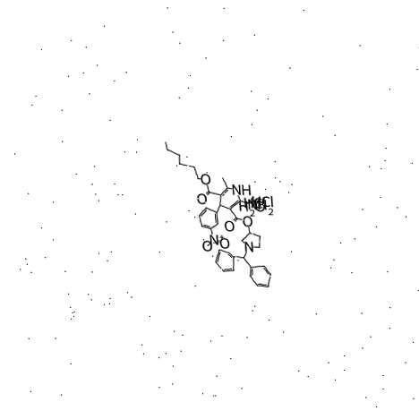 CCCCCCOC(=O)C1=C(C)NC(N)=C(C(=O)OC2CCN(C(c3ccccc3)c3ccccc3)C2)C1c1cccc([N+](=O)[O-])c1.Cl.Cl.O